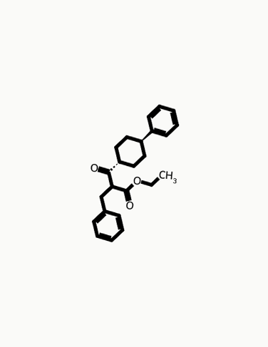 CCOC(=O)C(Cc1ccccc1)C(=O)[C@H]1CC[C@H](c2ccccc2)CC1